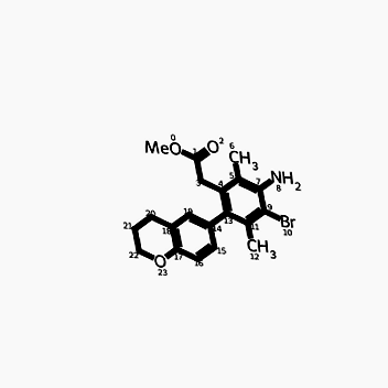 COC(=O)Cc1c(C)c(N)c(Br)c(C)c1-c1ccc2c(c1)CCCO2